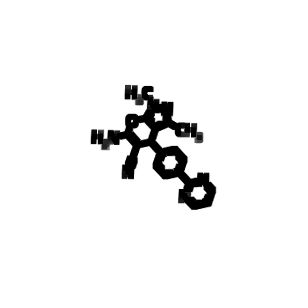 Cc1nn(C)c2c1C(c1ccc(-c3ncccn3)cc1)C(C#N)=C(N)O2